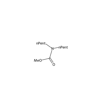 CCCCCN(CCCCC)C(=O)OC